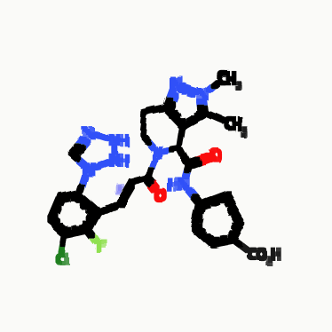 Cc1c2c(nn1C)CCN(C(=O)/C=C/c1c(N3C=NNN3)ccc(Cl)c1F)C2C(=O)Nc1ccc(C(=O)O)cc1